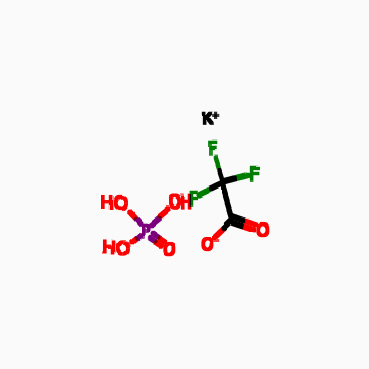 O=C([O-])C(F)(F)F.O=P(O)(O)O.[K+]